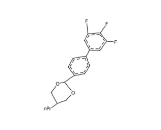 CCCC1COC(c2ccc(-c3cc(F)c(F)c(F)c3)cc2)OC1